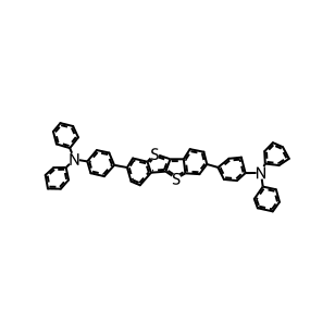 c1ccc(N(c2ccccc2)c2ccc(-c3ccc4c(c3)sc3c5ccc(-c6ccc(N(c7ccccc7)c7ccccc7)cc6)cc5sc43)cc2)cc1